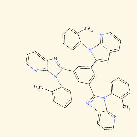 Cc1ccccc1-n1c(-c2cc(-c3nc4cccnc4n3-c3ccccc3C)cc(-c3nc4cccnc4n3-c3ccccc3C)c2)cc2cccnc21